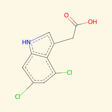 O=C(O)Cc1c[nH]c2cc(Cl)cc(Cl)c12